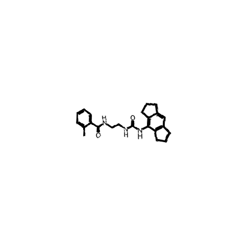 Cc1ccccc1C(=O)NCCNC(=O)Nc1c2c(cc3c1CCC3)CCC2